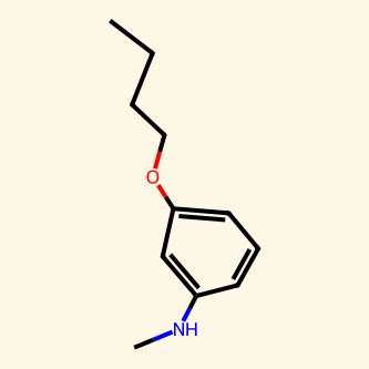 CCCCOc1cccc(NC)c1